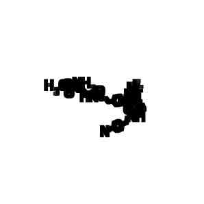 COC(=O)C(N)CCCCNC(=O)CCCC1CCN(c2cc(N3CCC[C@H]3C(=O)NCCc3ccc(C#N)cc3)nc(C(F)(F)F)n2)CC1